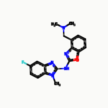 CN(C)Cc1cccc2oc(Nc3nc4cc(F)ccc4n3C)nc12